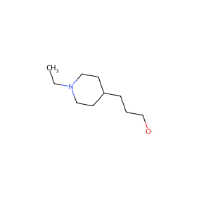 CCN1CCC(CCC[O])CC1